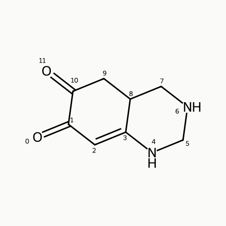 O=C1C=C2NCNCC2CC1=O